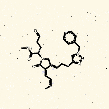 C\C=C/C=C1/C(=O)N(C(CCC=O)C(=O)NC)C/C1=C\CCc1cn(Cc2ccccc2)nn1